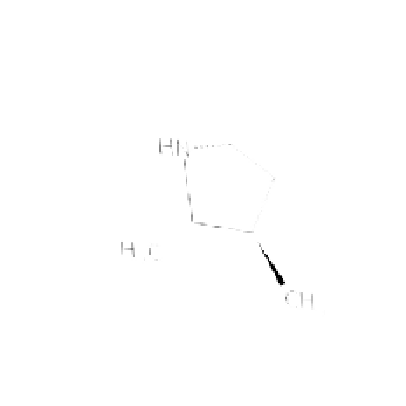 C[C@@H]1CCN[C@H]1C